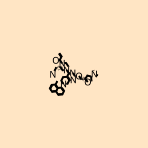 C=CC(=O)N1CCN(c2nc(OC[C@H]3CC(N(C)C)CO3)nc3c2CCN(c2cccc4cccc(C)c24)C3)C[C@@H]1CC#N